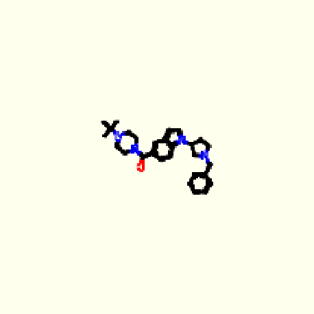 CC(C)(C)N1CCN(C(=O)c2ccc3c(ccn3C3CCN(Cc4ccccc4)C3)c2)CC1